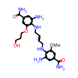 COc1cc(C(N)=O)cc(N)c1NC/C=C/CNc1c(N)cc(C(N)=O)cc1OCCCO